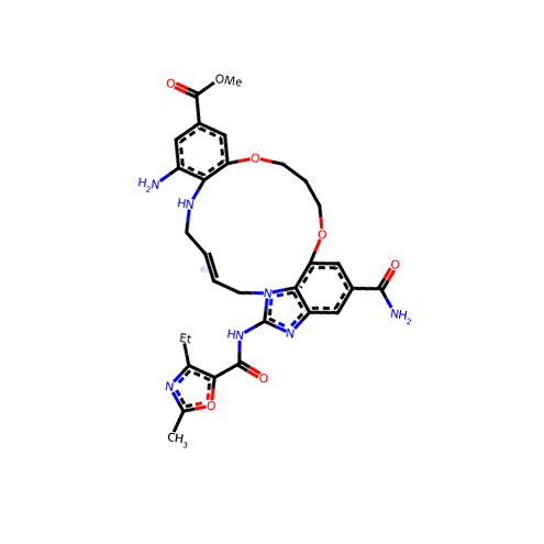 CCc1nc(C)oc1C(=O)Nc1nc2cc(C(N)=O)cc3c2n1C/C=C/CNc1c(N)cc(C(=O)OC)cc1OCCCO3